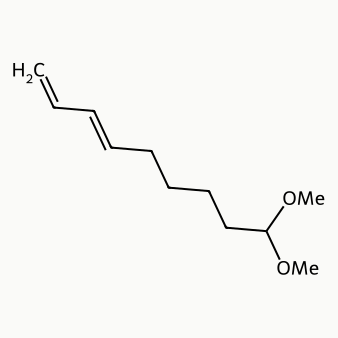 C=CC=CCCCCC(OC)OC